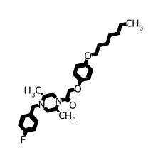 CCCCCCCOc1ccc(OCC(=O)N2C[C@@H](C)N(Cc3ccc(F)cc3)C[C@@H]2C)cc1